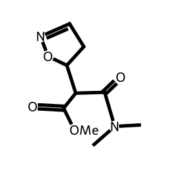 COC(=O)C(C(=O)N(C)C)C1CC=NO1